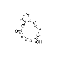 CC(C)C[C@H]1C/C=C/CC[C@@H](O)CCCC(=O)O1